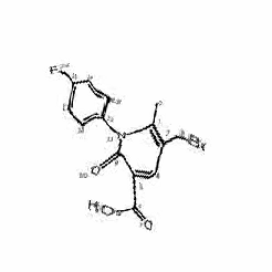 Cc1c(Br)cc(C(=O)O)c(=O)n1-c1ccc(F)cc1